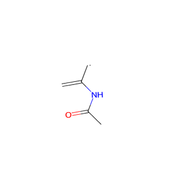 [CH2]C(=C)NC(C)=O